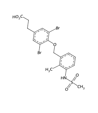 Cc1c(COc2c(Br)cc(CCC(=O)O)cc2Br)cccc1NS(C)(=O)=O